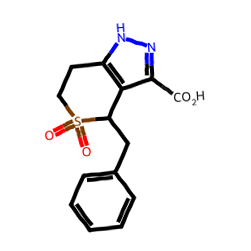 O=C(O)c1n[nH]c2c1C(Cc1ccccc1)S(=O)(=O)CC2